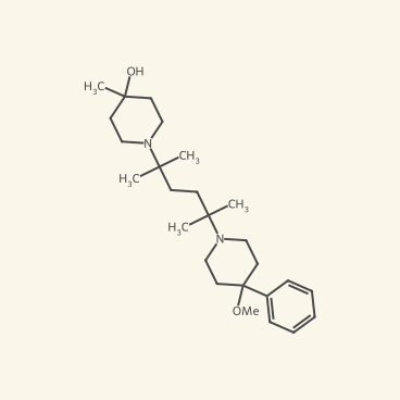 COC1(c2ccccc2)CCN(C(C)(C)CCC(C)(C)N2CCC(C)(O)CC2)CC1